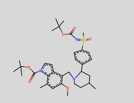 COc1cc(C)c2c(ccn2C(=O)OC(C)(C)C)c1CN1CCC(C)CC1c1ccc(S(C)(=O)=NC(=O)OC(C)(C)C)cc1